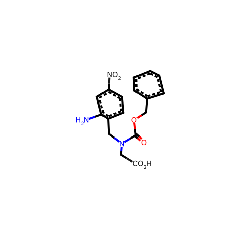 Nc1cc([N+](=O)[O-])ccc1CN(CC(=O)O)C(=O)OCc1ccccc1